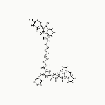 O=C1CCC(N2C(=O)c3cccc(NCCOCCOCCNC(=O)c4cc(S(=O)(=O)NC(=O)Nc5c6c(cc7c5CCC7)CCC6)nn4Cc4ccccc4)c3C2=O)C(=O)N1